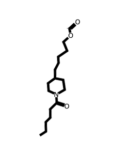 CCCCCC(=O)N1CCC(CCCCCO[C]=O)CC1